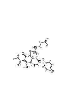 CNC(=O)c1c(O)c2ncc(Cc3ccc(F)cc3)cc2n(CC(=O)NCCN(C)C)c1=O